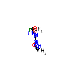 Cc1ccc(CNC(=O)c2cn(CCCCn3cc(NC(=O)Cc4cc(OC(F)(F)F)ccc4F)nn3)nn2)nc1